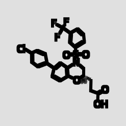 O=C(O)CC[C@H]1CN(S(=O)(=O)c2cccc(C(F)(F)F)c2)c2cc(-c3ccc(Cl)cc3)ccc2O1